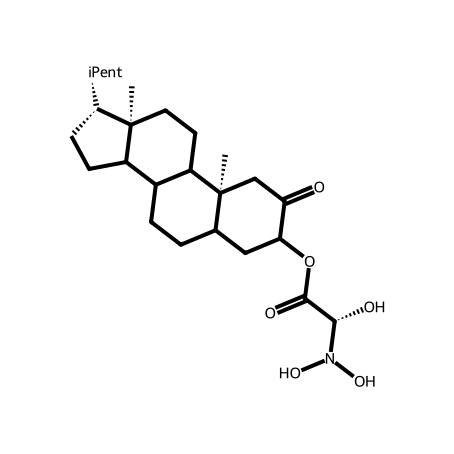 CCC[C@@H](C)[C@H]1CCC2C3CCC4CC(OC(=O)[C@H](O)N(O)O)C(=O)C[C@]4(C)C3CC[C@@]21C